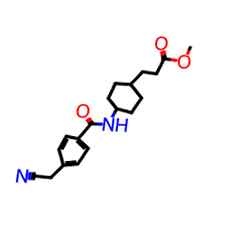 COC(=O)CCC1CCC(NC(=O)c2ccc(CC#N)cc2)CC1